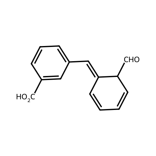 O=CC1C=CC=CC1=Cc1cccc(C(=O)O)c1